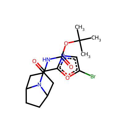 CC(C)(C)OC(=O)NC1CC2CCC(C1)N2C(=O)c1ncc(Br)o1